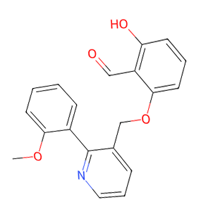 COc1ccccc1-c1ncccc1COc1cccc(O)c1C=O